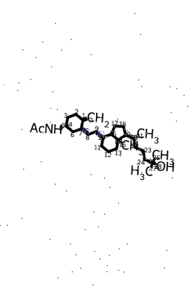 C=C1CC[C@@H](NC(C)=O)C/C1=C/C=C1\CCC[C@@]2(C)C1CCC2[C@H](C)CCCC(C)(C)O